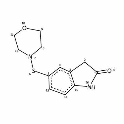 O=C1Cc2cc(SN3CCOCC3)ccc2N1